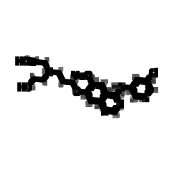 C#CCN(CCO)CCCOc1cc2ncnc(Nc3cn[c]c(Cl)c3)c2cc1OC